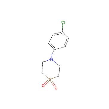 O=S1(=O)CCN(c2ccc(Cl)cc2)CC1